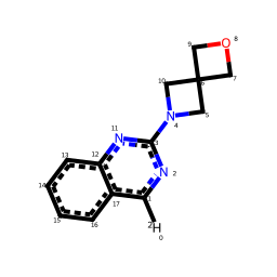 [2H]c1nc(N2CC3(COC3)C2)nc2ccccc12